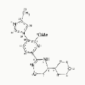 COc1nc(C2=NOCC(C3CCOCC3)N2)ccc1-n1cnc(C)c1